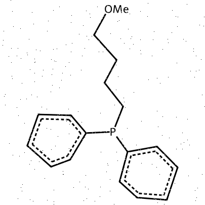 COCCCCP(c1ccccc1)c1ccccc1